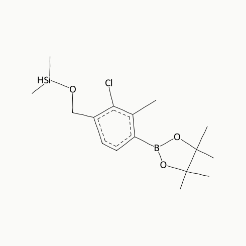 Cc1c(B2OC(C)(C)C(C)(C)O2)ccc(CO[SiH](C)C)c1Cl